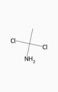 CC(N)(Cl)Cl